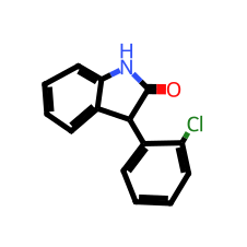 O=C1Nc2ccccc2C1c1ccccc1Cl